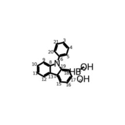 OBO.c1ccc(-n2c3ccccc3c3ccccc32)cc1